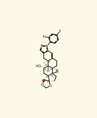 C[C@]12Cc3cnn(-c4ccc(F)cc4F)c3C=C1CC[C@@H]1[C@@H]2[C@@H](O)C[C@@]2(C)[C@H]1CC[C@@]21OCOC12COCO2